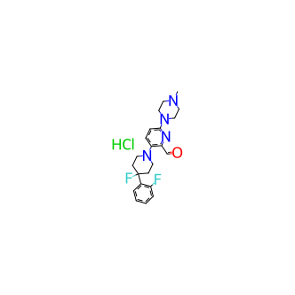 CN1CCN(c2ccc(N3CCC(F)(c4ccccc4F)CC3)c(C=O)n2)CC1.Cl